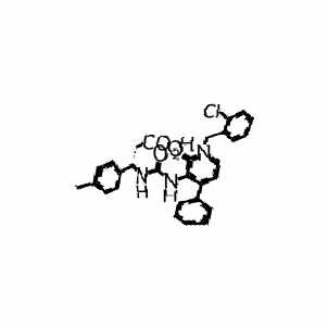 Cc1ccc([C@H](CC(=O)O)NC(=O)Nc2c(-c3ccccc3)ccn(Cc3ccccc3Cl)c2=O)cc1